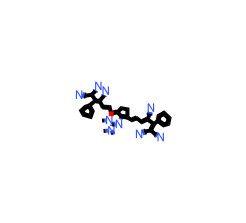 CN(C)C(=NC1=C(/C=C/C=C(\C#N)C(=C(C#N)C#N)c2ccccc2)CC\C1=C/C=C/C(C#N)=C(\c1ccccc1)C(C#N)C#N)N(C)C